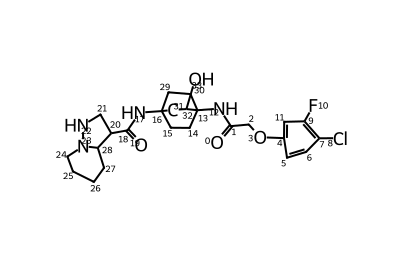 O=C(COc1ccc(Cl)c(F)c1)NC12CCC(NC(=O)C3CNN4CCCCC34)(CC1)CC2O